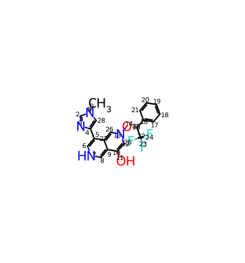 Cn1cnc(C2=CNC=C3C(O)=CN(O[C@H](c4ccccc4)C(F)(F)F)C=C32)c1